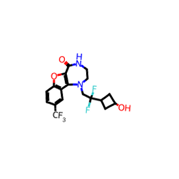 O=C1NCCN(CC(F)(F)C2CC(O)C2)c2c1oc1ccc(C(F)(F)F)cc21